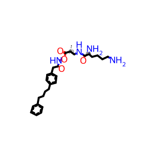 C[C@H](CNC(=O)[C@H](N)CCCCN)C(=O)ONC(=O)Cc1ccc(CCCCc2ccccc2)cc1